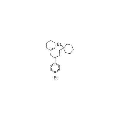 CCc1ccc(C(CCC2(CC)CCCCC2)CC2=CCCCC2)cc1